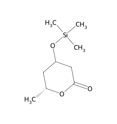 C[C@@H]1CC(O[Si](C)(C)C)CC(=O)O1